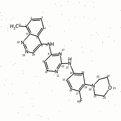 Cc1cccc2c(Nc3ccnc(Nc4ccc(F)c(N5CCOCC5)c4)n3)cnnc12